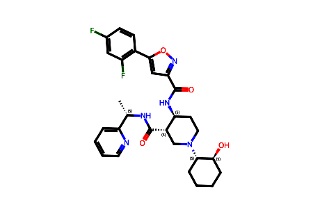 C[C@H](NC(=O)[C@H]1CN([C@H]2CCCC[C@@H]2O)CC[C@@H]1NC(=O)c1cc(-c2ccc(F)cc2F)on1)c1ccccn1